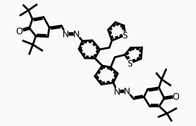 CC(C)(C)C1=CC(=C/N=N/c2ccc(-c3ccc(/N=N/C=C4C=C(C(C)(C)C)C(=O)C(C(C)(C)C)=C4)cc3Cc3cccs3)c(Cc3cccs3)c2)C=C(C(C)(C)C)C1=O